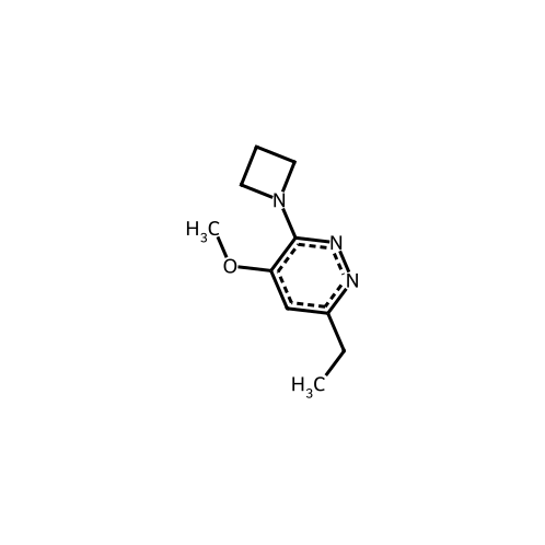 CCc1cc(OC)c(N2CCC2)nn1